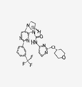 O=C(Nc1ccnc(OC2CCOCC2)n1)N1c2nc(-c3cccc(C(F)(F)F)c3)ncc2N2CC[C@H]1C2